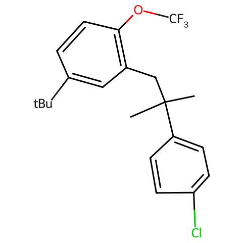 CC(C)(C)c1ccc(OC(F)(F)F)c(CC(C)(C)c2ccc(Cl)cc2)c1